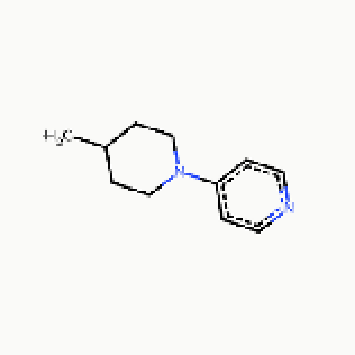 [CH2]C1CCN(c2ccncc2)CC1